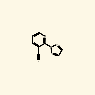 N#Cc1cccnc1-n1nccn1